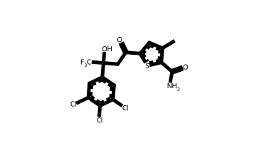 Cc1cc(C(=O)CC(O)(c2cc(Cl)c(Cl)c(Cl)c2)C(F)(F)F)sc1C(N)=O